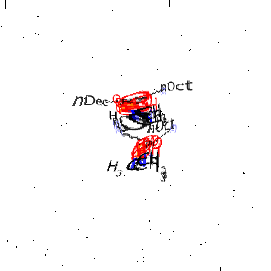 CCCCCCCC/C=C\CCCCCCCC(=O)OC[C@H](COP(=O)(O)OCC[N+](C)(C)C)OC(=O)CCCCCCC/C=C\CCCCCCCC.CCCCCCCC/C=C\CCCCCCCC(=O)O[C@H](COC(=O)CCCCCCCCCCCCCCC)COP(=O)(O)OCC[N+](C)(C)C